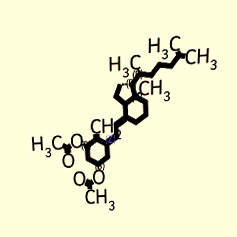 C=C1/C(=C\C=C2CCC[C@@]3(C)C2CC[C@@H]3[C@H](C)CCCC(C)C)C[C@H](OC(C)=O)C[C@H]1OC(C)=O